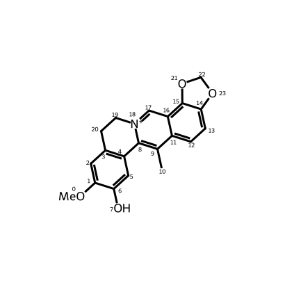 COc1cc2c(cc1O)-c1c(C)c3ccc4c(c3c[n+]1CC2)OCO4